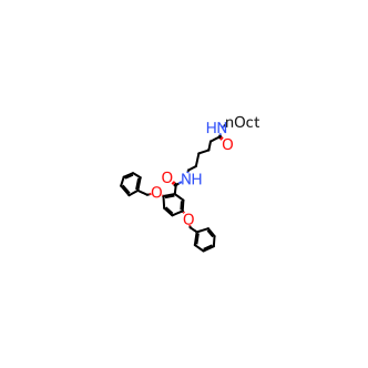 CCCCCCCCNC(=O)CCCCCNC(=O)c1cc(OCc2ccccc2)ccc1OCc1ccccc1